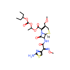 CCC(CC)OC(=O)OC(C)OC(=O)C1=C(COC)CS[C@H]2C(NC(=O)C(=NOC)c3csc(N)n3)C(=O)N12